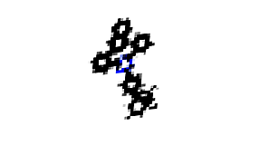 C[C@@H]1C[C@@H]2C[C@H](C)CC(c3ccc(-c4nc(-c5ccccc5)nc(-c5ccccc5-c5ccc6ccccc6c5)n4)cc3)(C1)C2